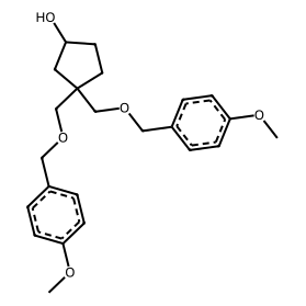 COc1ccc(COCC2(COCc3ccc(OC)cc3)CCC(O)C2)cc1